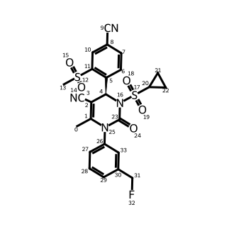 CC1=C(C#N)[C@@H](c2ccc(C#N)cc2S(C)(=O)=O)N(S(=O)(=O)C2CC2)C(=O)N1c1cccc(CF)c1